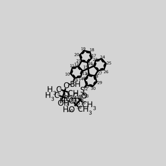 CC(C)(O)C(C)(C)OBc1ccc2c(c1)C1(c3ccccc3-2)c2ccccc2-c2ccc(SOC(C)(C)C(C)(C)O)cc21